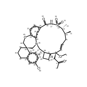 CO[C@@]1(CC(C)=O)/C=C/C[C@H](C)[C@@H](C)S(=O)(=O)NC(=O)c2ccc3c(c2)N(C[C@@H]2CC[C@H]21)C[C@@]1(CCCc2cc(Cl)ccc21)CO3